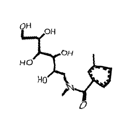 Cc1cccc(C(=O)N(C)CC(O)C(O)C(O)C(O)CO)c1